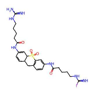 N=C(N)NCCCCC(=O)NC1=CC2C(C=C1)Cc1ccc(NC(=O)CCCCNC(=N)I)cc1S2(=O)=O